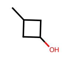 CC1CC(O)C1